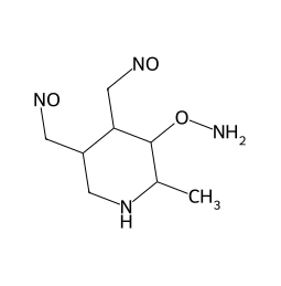 CC1NCC(CN=O)C(CN=O)C1ON